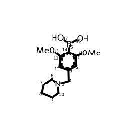 COc1cc(CN2CCCCC2)cc(OC)c1B(O)O